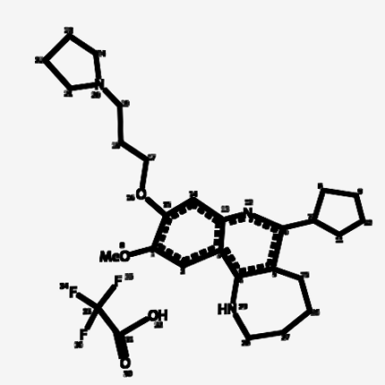 COc1cc2c3c(c(C4CCCC4)nc2cc1OCCCN1CCCC1)CCCCN3.O=C(O)C(F)(F)F